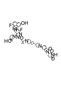 CCc1c(F)ccc2cc(O)cc(-c3ncc4c(N5CCC[C@@](C)(O)C5)nc(OCC5(CN6CCC7(CC6)CC(C6CCN(c8ccc9c(c8)CN(C8CCC(=O)NC8=O)C9=O)CC6)C7)CC5)nc4c3F)c12